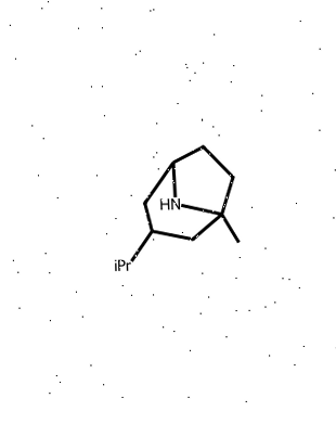 CC(C)C1CC2CCC(C)(C1)N2